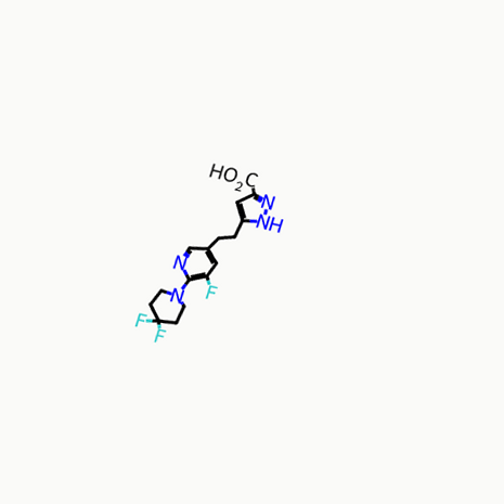 O=C(O)c1cc(CCc2cnc(N3CCC(F)(F)CC3)c(F)c2)[nH]n1